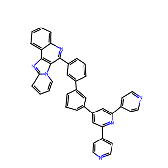 c1cc(-c2cccc(-c3nc4ccccc4c4nc5ccccn5c34)c2)cc(-c2cc(-c3ccncc3)nc(-c3ccncc3)c2)c1